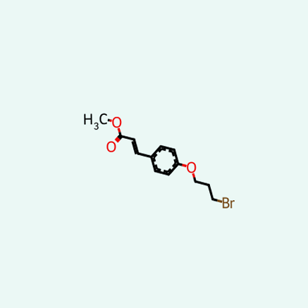 COC(=O)C=Cc1ccc(OCCCBr)cc1